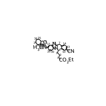 CCOC(=O)CCCCn1c(Cc2ccc(C#N)cc2)nc2cc(NC(=O)C3(C)CCCCC3)ccc21